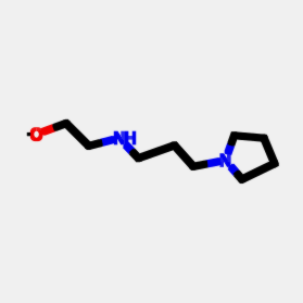 [O]CCNCCCN1CCCC1